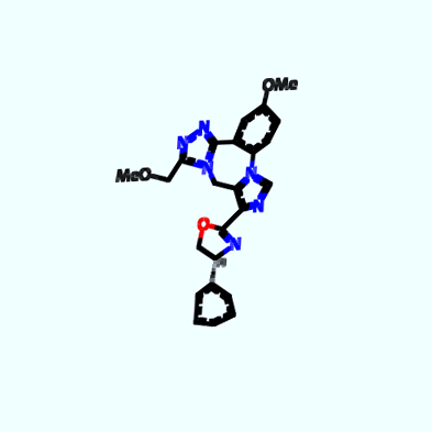 COCc1nnc2n1Cc1c(C3=N[C@H](c4ccccc4)CO3)ncn1-c1ccc(OC)cc1-2